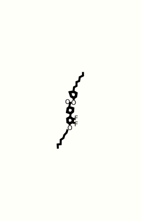 CCCCCCCCOc1ccc(-c2ccc(C(=O)Oc3ccc(CCCCCCC)cc3)cc2)c(F)c1F